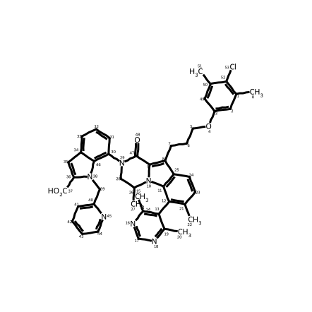 Cc1cc(OCCCc2c3n(c4c(-c5c(C)ncnc5C)c(C)ccc24)C(C)CN(c2cccc4cc(C(=O)O)n(Cc5ccccn5)c24)C3=O)cc(C)c1Cl